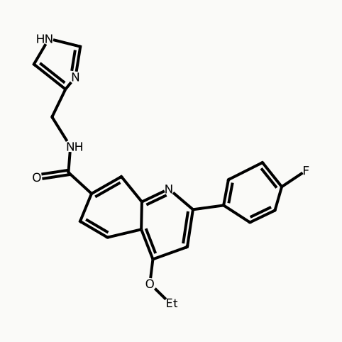 CCOc1cc(-c2ccc(F)cc2)nc2cc(C(=O)NCc3c[nH]cn3)ccc12